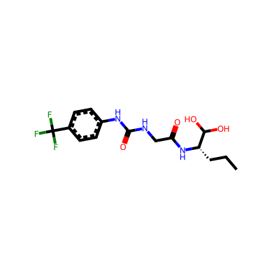 CCC[C@H](NC(=O)CNC(=O)Nc1ccc(C(F)(F)F)cc1)C(O)O